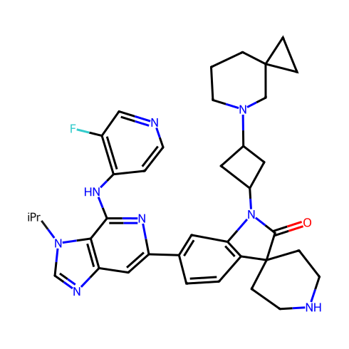 CC(C)n1cnc2cc(-c3ccc4c(c3)N(C3CC(N5CCCC6(CC6)C5)C3)C(=O)C43CCNCC3)nc(Nc3ccncc3F)c21